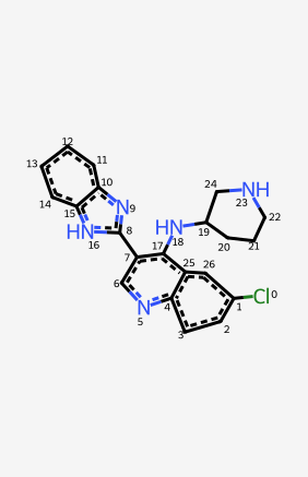 Clc1ccc2ncc(-c3nc4ccccc4[nH]3)c(NC3CCCNC3)c2c1